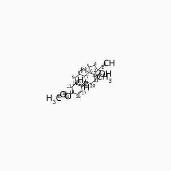 C#C[C@]1(O)CC[C@H]2[C@@H]3CCc4cc(OOC)ccc4[C@H]3CC[C@@]21C